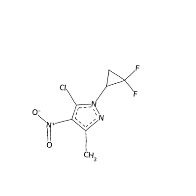 Cc1nn(C2CC2(F)F)c(Cl)c1[N+](=O)[O-]